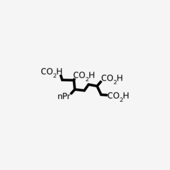 CCCC(CCC(CC(=O)O)C(=O)O)C(CC(=O)O)C(=O)O